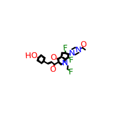 CC(=O)N1CCN(c2c(F)cc3c(=O)c(C(=O)C=Cc4ccc(O)cc4)cn(CCF)c3c2F)CC1